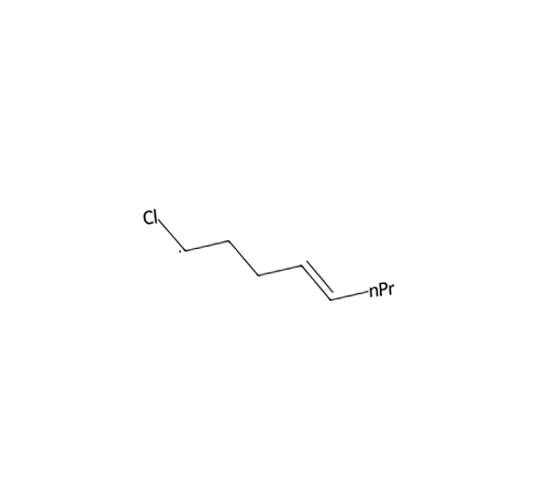 CCCC=CCC[CH]Cl